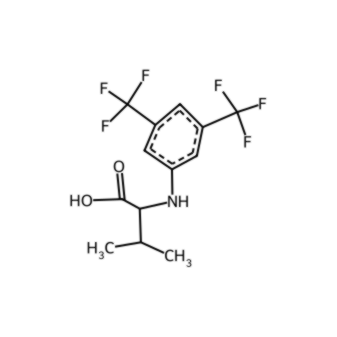 CC(C)C(Nc1cc(C(F)(F)F)cc(C(F)(F)F)c1)C(=O)O